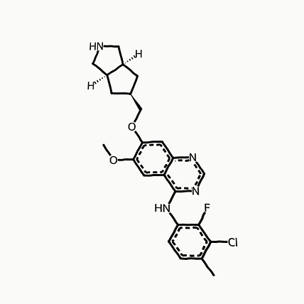 COc1cc2c(Nc3ccc(C)c(Cl)c3F)ncnc2cc1OC[C@H]1C[C@H]2CNC[C@H]2C1